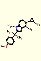 CCOc1ccc(C(C)(C)c2cc3c(C(C)C)c(C4CC4C(C)C)ccc3n2C)cc1